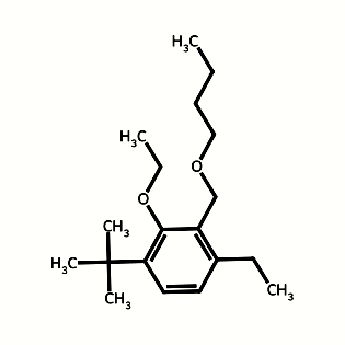 CCCCOCc1c(CC)ccc(C(C)(C)C)c1OCC